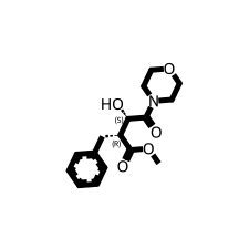 COC(=O)[C@H](Cc1ccccc1)[C@H](O)C(=O)N1CCOCC1